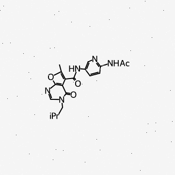 CC(=O)Nc1ccc(NC(=O)c2c(C)oc3ncn(CC(C)C)c(=O)c23)cn1